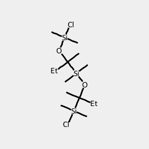 CCC(C)(O[Si](C)(C)C(C)(CC)O[Si](C)(C)Cl)[Si](C)(C)Cl